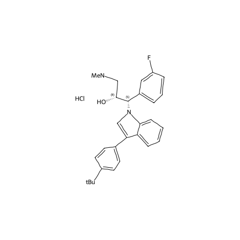 CNC[C@@H](O)[C@H](c1cccc(F)c1)n1cc(-c2ccc(C(C)(C)C)cc2)c2ccccc21.Cl